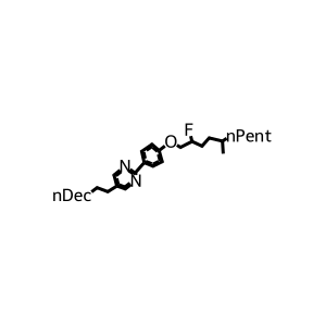 CCCCCCCCCCCCc1cnc(-c2ccc(OCC(F)CCC(C)CCCCC)cc2)nc1